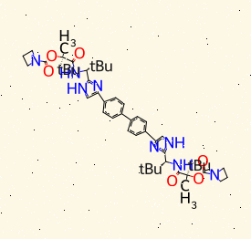 CC(C)(C)[C@H](NC(=O)[C@](C)(OC(=O)N1CCC1)C(C)(C)C)c1nc(-c2ccc(-c3ccc(-c4c[nH]c([C@@H](NC(=O)[C@](C)(OC(=O)N5CCC5)C(C)(C)C)C(C)(C)C)n4)cc3)cc2)c[nH]1